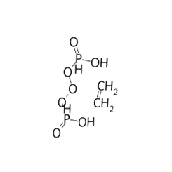 C=C.O=[PH](O)OOO[PH](=O)O